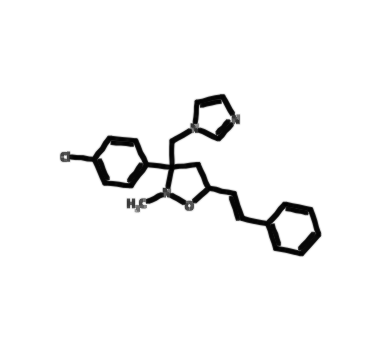 CN1OC(C=Cc2ccccc2)CC1(Cn1ccnc1)c1ccc(Cl)cc1